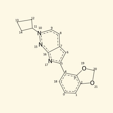 c1cc2c(c(-c3cc4ccn(C5CCC5)nc-4n3)c1)OCO2